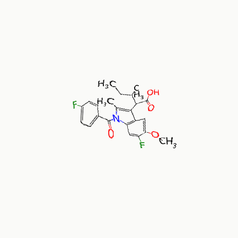 CCC(C)C(C(=O)O)c1c(C)n(C(=O)c2ccc(F)cc2)c2cc(F)c(OC)cc12